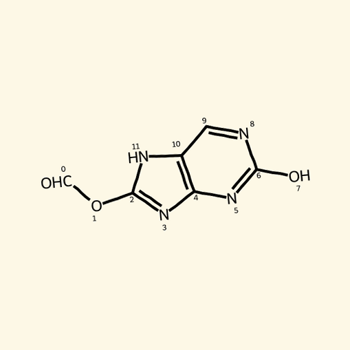 O=COc1nc2nc(O)ncc2[nH]1